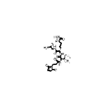 BC(=O)CNC(=O)[C@H](CCCNC(N)=O)NC(=O)C(NC(=O)CCN1C(=O)C=CC1=O)C(C)C